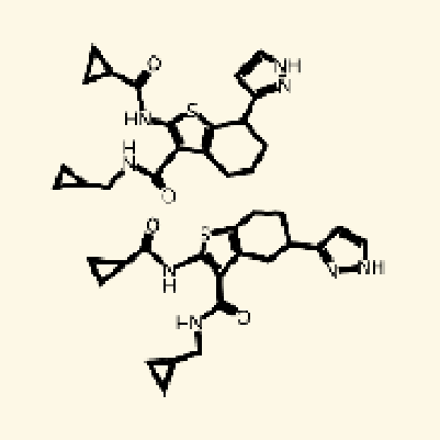 O=C(NCC1CC1)c1c(NC(=O)C2CC2)sc2c1CC(c1cc[nH]n1)CC2.O=C(NCC1CC1)c1c(NC(=O)C2CC2)sc2c1CCCC2c1cc[nH]n1